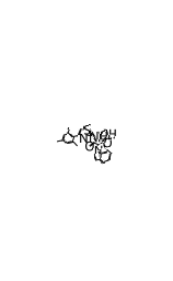 Cc1cc(C)c(-c2csc(NC(=O)C(C(=O)O)n3ccc4ccccc43)n2)c(C)c1